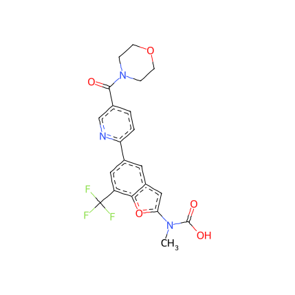 CN(C(=O)O)c1cc2cc(-c3ccc(C(=O)N4CCOCC4)cn3)cc(C(F)(F)F)c2o1